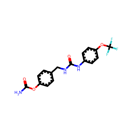 NC(=O)Oc1ccc(CNC(=O)Nc2ccc(OC(F)(F)F)cc2)cc1